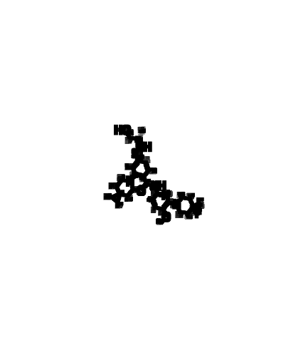 COc1ccc(NC(=O)c2ccc(SN[C@@H](C)CO)cc2N2CCC3(CC2)CC3)nc1N1CCC(F)(F)CC1